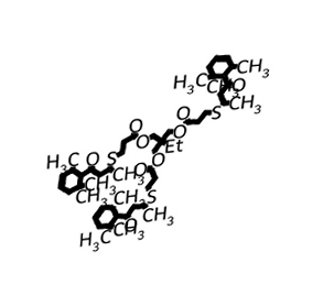 CCC(COC(=O)CCSC(C)CC(=O)C1C(C)C=CCC1(C)C)(COC(=O)CCSC(C)CC(=O)C1C(C)C=CCC1(C)C)COC(=O)CCSC(C)CC(=O)C1C(C)C=CCC1(C)C